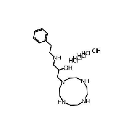 Cl.Cl.Cl.Cl.Cl.OC(CNCCc1ccccc1)CN1CCNCCNCCNCC1